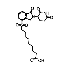 O=C(O)CCCCCCCCS(=O)(=O)c1cccc2c1CN(C1CCC(=O)NC1=O)C2=O